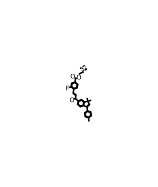 Cc1ccc(C2=CC(C)(C)c3cc(C(=O)C=Cc4ccc(C(=O)OCC[Si](C)(C)C)cc4F)ccc32)cc1